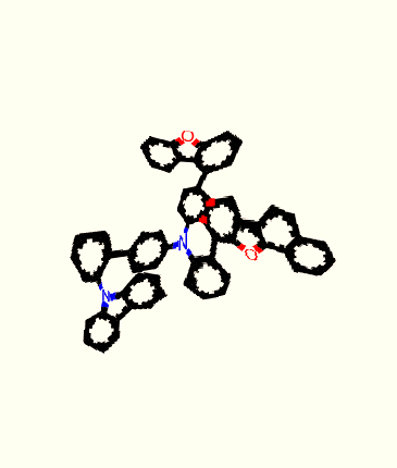 c1ccc(N(c2ccc(-c3ccccc3-n3c4ccccc4c4ccccc43)cc2)c2ccc(-c3cccc4oc5ccccc5c34)cc2)c(-c2cccc3c2oc2c4ccccc4ccc32)c1